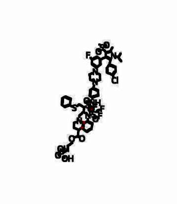 Cc1c(S(C)(=O)=O)c(-c2cc(F)cc(N3CCN(c4ccc(NS(=O)(=O)C(CSc5ccccc5)C(CN5CCC(C(=O)OCCCP(=O)(O)O)CC5)N(c5ccccc5)S(=O)(=O)C(F)(F)F)cc4)CC3)c2)c(-c2ccc(Cl)cc2)n1C(C)C